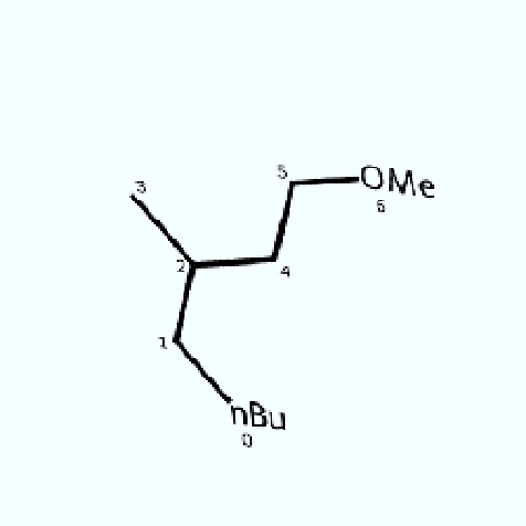 C[CH]CCCC(C)CCOC